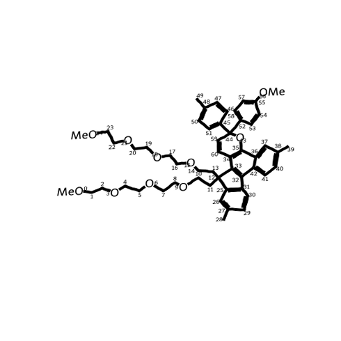 COCCOCCOCCOCCC1(CCOCCOCCOCCOC)c2cc(C)ccc2-c2c1c1c(c3cc(C)ccc23)OC(c2ccc(C)cc2)(c2ccc(OC)cc2)C=C1